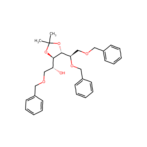 CC1(C)O[C@H]([C@H](O)COCc2ccccc2)[C@@H]([C@@H](COCc2ccccc2)OCc2ccccc2)O1